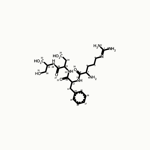 NC(N)=NCCCC(N)C(=O)NC(Cc1ccccc1)C(=O)NC(CC(=O)O)C(=O)NC(CO)C(=O)O